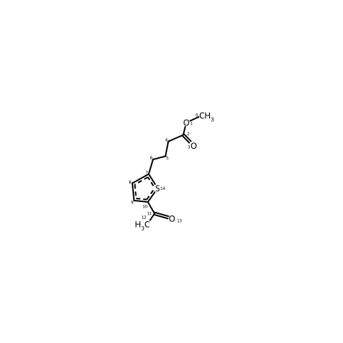 COC(=O)CCCc1ccc(C(C)=O)s1